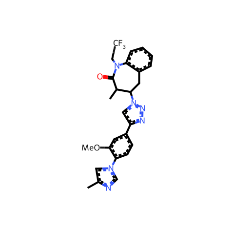 COc1cc(-c2cn(C3Cc4ccccc4N(CC(F)(F)F)C(=O)C3C)nn2)ccc1-n1cnc(C)c1